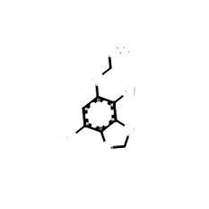 COCOc1cc(C)c2c(c1C)OCO2